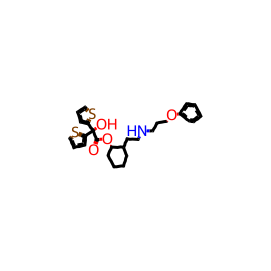 O=C(O[C@H]1CCCCC1CCNCCCOc1ccccc1)C(O)(c1cccs1)c1cccs1